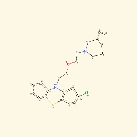 O=C(O)[C@@H]1CCCN(CCOCCN2c3ccccc3Sc3ccc(Cl)cc32)C1